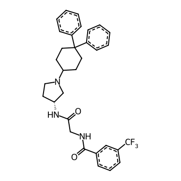 O=C(CNC(=O)c1cccc(C(F)(F)F)c1)N[C@@H]1CCN(C2CCC(c3ccccc3)(c3ccccc3)CC2)C1